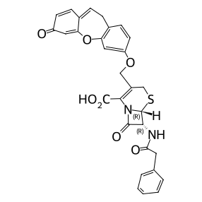 O=C1C=CC2=CCc3ccc(OCC4=C(C(=O)O)N5C(=O)[C@@H](NC(=O)Cc6ccccc6)[C@H]5SC4)cc3OC2=C1